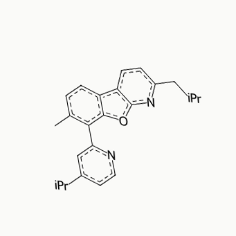 Cc1ccc2c(oc3nc(CC(C)C)ccc32)c1-c1cc(C(C)C)ccn1